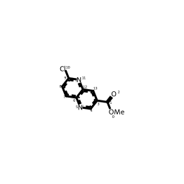 COC(=O)c1cnc2ccc(Cl)nc2c1